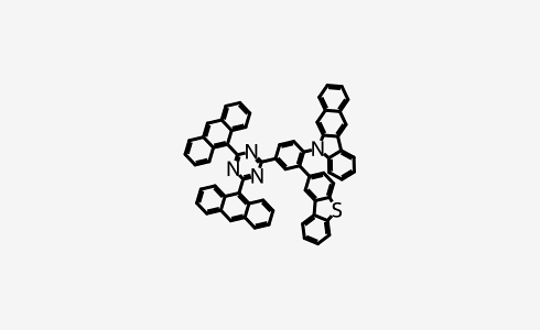 c1ccc2cc3c(cc2c1)c1ccccc1n3-c1ccc(-c2nc(-c3c4ccccc4cc4ccccc34)nc(-c3c4ccccc4cc4ccccc34)n2)cc1-c1ccc2sc3ccccc3c2c1